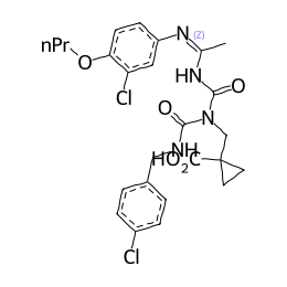 CCCOc1ccc(/N=C(/C)NC(=O)N(CC2(C(=O)O)CC2)C(=O)NCc2ccc(Cl)cc2)cc1Cl